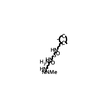 C/N=C(/NC)NCCCC(N)C(=O)NCCSCC(=O)NCCCC[C@]1(C)CC(C)CCCCCC[C@H](C)C1